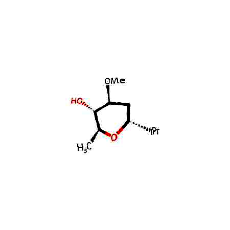 CO[C@H]1C[C@H](C(C)C)O[C@@H](C)[C@@H]1O